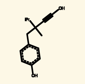 CC(C)C(C)(C#CO)Cc1ccc(O)cc1